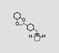 c1ccc2c(c1)OCC(c1ccc(CN3[C@H]4CC[C@H]3CC4)cc1)O2